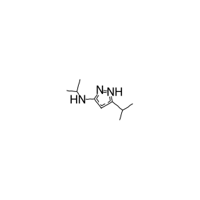 CC(C)Nc1cc(C(C)C)[nH]n1